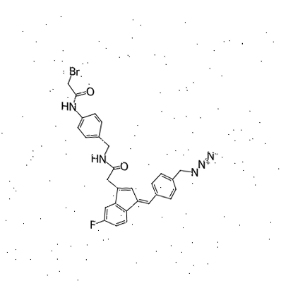 [N-]=[N+]=NCc1ccc(/C=C2\C=C(CC(=O)NCc3ccc(NC(=O)CBr)cc3)c3cc(F)ccc32)cc1